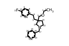 CCOCC1(CCc2ccc(F)cn2)CCN(Cc2cccnc2)C1